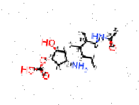 CCCC(C[C@H]1[C@H](O)[C@@H](OC(=O)O)C[C@H]1N)C(C)CNC(C)=O